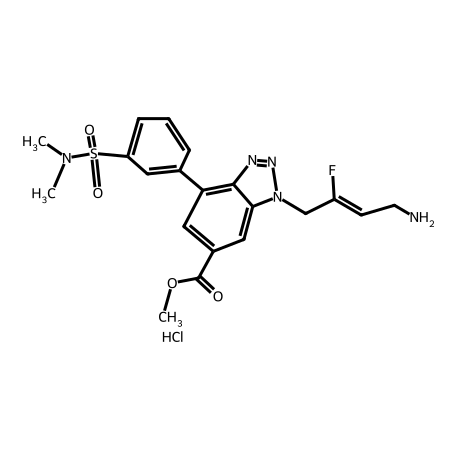 COC(=O)c1cc(-c2cccc(S(=O)(=O)N(C)C)c2)c2nnn(C/C(F)=C/CN)c2c1.Cl